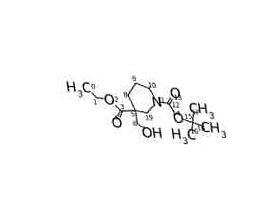 CCOC(=O)C1(CO)CCCN(C(=O)OC(C)(C)C)C1